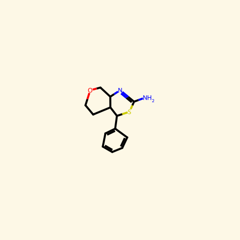 NC1=NC2COCCC2C(c2ccccc2)S1